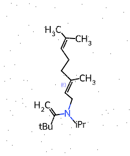 C=C(N(C/C=C(\C)CCC=C(C)C)C(C)C)C(C)(C)C